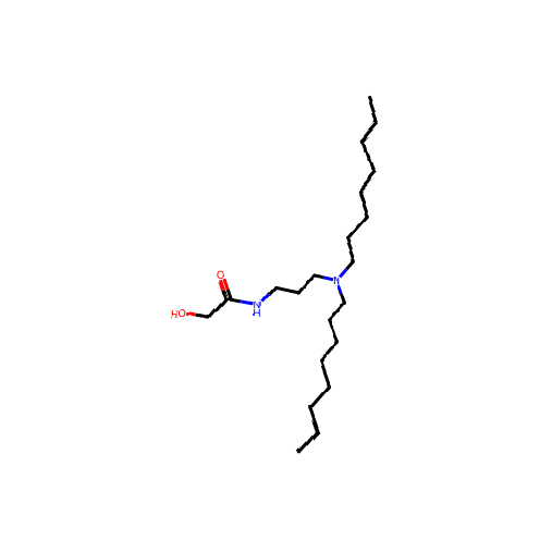 CCCCCCCCN(CCCCCCCC)CCCNC(=O)CO